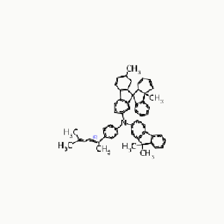 CC(C)=C/C=C(\C)c1ccc(N(c2ccc3c(c2)C(C)(C)c2ccccc2-3)c2ccc3c(c2)C2(C4=C3C=CC(C)C4)c3ccccc3C3(C)C=CC=CC32)cc1